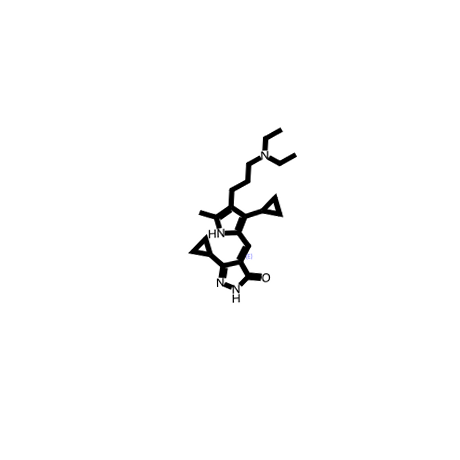 CCN(CC)CCCc1c(C)[nH]c(/C=C2/C(=O)NN=C2C2CC2)c1C1CC1